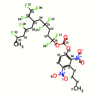 CCCCc1c([N+](=O)[O-])ccc(OC(=O)OC(F)(F)CCC(F)(F)CC(CC(F)CC(C)F)C(F)C(F)F)c1[N+](=O)[O-]